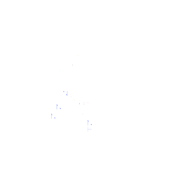 CN=S(=O)(c1cccc(C(F)(F)F)c1)c1nnc(C)cc1C(=O)NCCc1ccc(C)cc1C